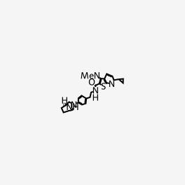 CNc1c(C(=O)NCCc2ccc(N3CC4CC[C@@H](C3)N4)cc2)sc2nc(C3CC3)ccc12